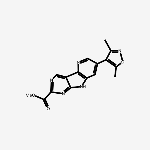 COC(=O)c1ncc2c(n1)[nH]c1cc(-c3c(C)noc3C)cnc12